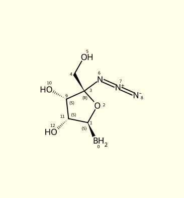 B[C@@H]1O[C@@](CO)(N=[N+]=[N-])[C@@H](O)[C@H]1O